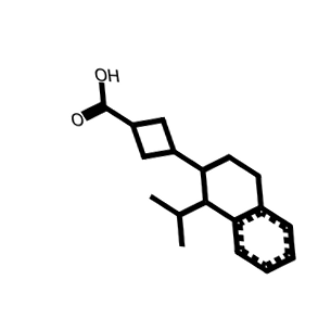 CC(C)C1c2ccccc2CCC1C1CC(C(=O)O)C1